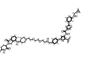 O=C1CCC(N2Cc3c(NC4CCN(CCOCCOCCNCc5ccc(-n6cc(NC(=O)c7coc(-c8ccnc(NCC9CC9)c8)n7)c(C(F)F)n6)cc5)CC4)cccc3C2=O)C(=O)N1